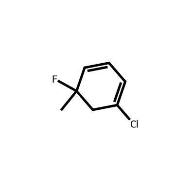 CC1(F)C=CC=C(Cl)C1